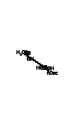 CCCCCCCCCCCC[C@@H](O)[C@H]1CC[C@H]([C@H](O)CCCCCCCCCCC[C@H](O)CCC2=C[C@H](C)OC2=O)O1